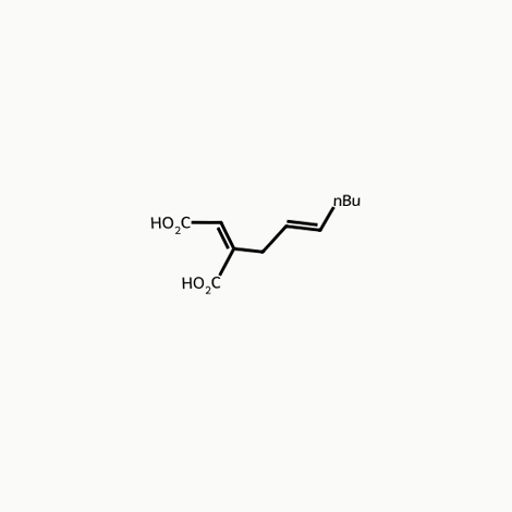 CCCCC=CCC(=CC(=O)O)C(=O)O